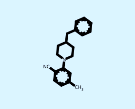 Cc1ccc(C#N)c(N2CCC(Cc3ccccc3)CC2)c1